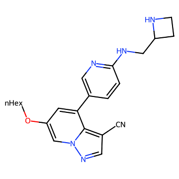 CCCCCCOc1cc(-c2ccc(NCC3CCN3)nc2)c2c(C#N)cnn2c1